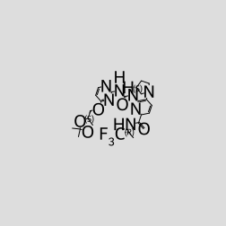 C[C@@H](NC(=O)c1ccc2c(n1)N(C(=O)Nc1nccc(OC[C@H]3COC(C)(C)O3)n1)[C@H]1CCN2C1)C(F)(F)F